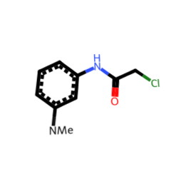 CNc1cccc(NC(=O)CCl)c1